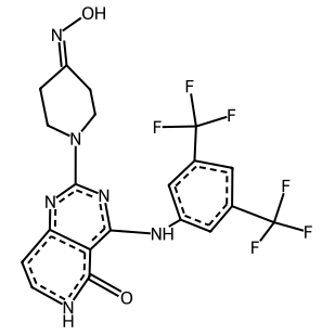 O=c1[nH]ccc2nc(N3CCC(=NO)CC3)nc(Nc3cc(C(F)(F)F)cc(C(F)(F)F)c3)c12